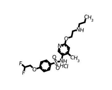 CCCNCCOc1cc(C)c(NS(=O)(=O)c2ccc(OCC(F)F)cc2)cn1.Cl